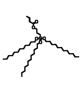 CC=CC(=O)OCCC[Si](OCCCCCCCCCCCC)(OCCCCCCCCCCCC)OCCCCCCCCCCCC